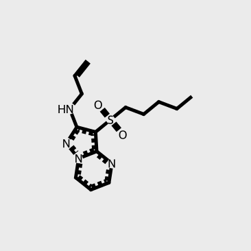 C=CCNc1nn2cccnc2c1S(=O)(=O)CCCCC